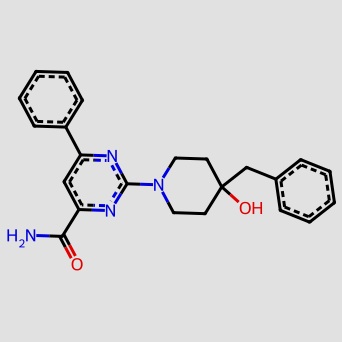 NC(=O)c1cc(-c2ccccc2)nc(N2CCC(O)(Cc3ccccc3)CC2)n1